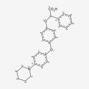 O=C(O)C(Oc1ccc(Oc2ccc(N3CCCCC3)cc2)cc1)c1ccccc1